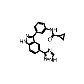 O=C(Nc1cccc(-c2n[nH]c3ccc(-c4nc[nH]n4)cc23)c1)C1CC1